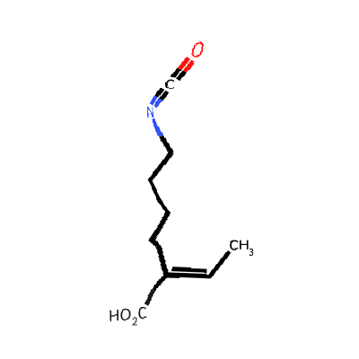 CC=C(CCCCN=C=O)C(=O)O